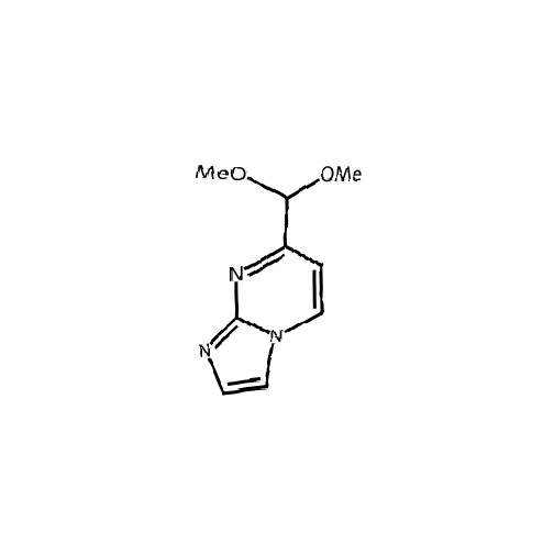 COC(OC)c1ccn2ccnc2n1